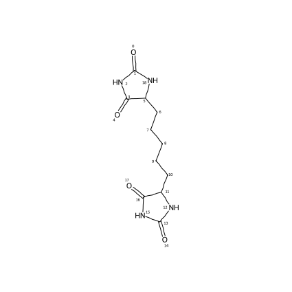 O=C1NC(=O)C(CCCCCC2NC(=O)NC2=O)N1